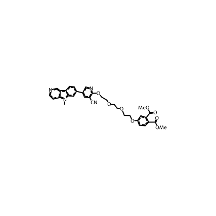 COC(=O)c1ccc(OCCOCCOCCOc2ncc(-c3ccc4c5cnccc5n(C)c4c3)cc2C#N)cc1C(=O)OC